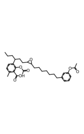 CCCC(CCC1OC1CCCCCCCc1cccc(OC(C)=O)c1)c1ccc(C)c(C(=O)O)c1OC(C)=O